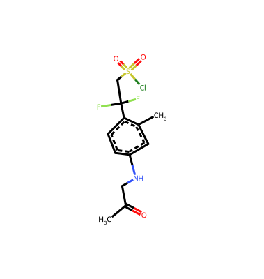 CC(=O)CNc1ccc(C(F)(F)CS(=O)(=O)Cl)c(C)c1